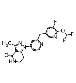 Cc1nn(-c2ccnc(Cc3cnc(OC(F)F)c(F)c3)c2)c2c1C(=O)NCC2